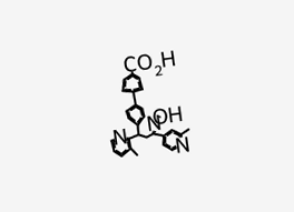 Cc1cc(C(CC(c2ccc(-c3ccc(C(=O)O)cc3)cc2)c2ncccc2C)=NO)ccn1